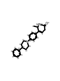 CC1NC(=O)CC=C1c1ccc(N2CCC(c3ccccc3)CC2)cc1